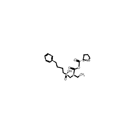 CCN(CP(=O)(O)CCCCc1ccccc1)C(=O)OC(=O)[C@@H]1CCCN1